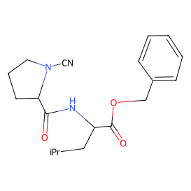 CC(C)CC(NC(=O)C1CCCN1C#N)C(=O)OCc1ccccc1